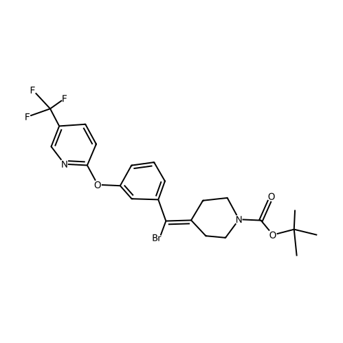 CC(C)(C)OC(=O)N1CCC(=C(Br)c2cccc(Oc3ccc(C(F)(F)F)cn3)c2)CC1